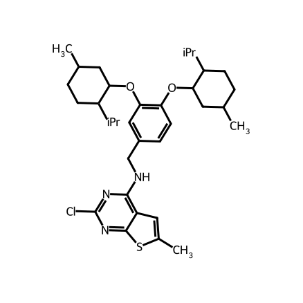 Cc1cc2c(NCc3ccc(OC4CC(C)CCC4C(C)C)c(OC4CC(C)CCC4C(C)C)c3)nc(Cl)nc2s1